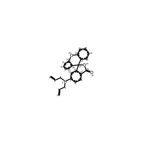 C=CCN(CC=C)c1ccc2c(c1)C1(OC2=O)c2ccccc2Oc2ccccc21